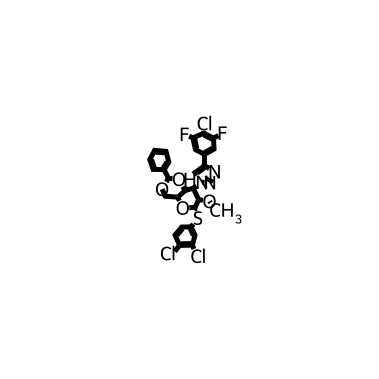 COC1C(n2cc(-c3cc(F)c(Cl)c(F)c3)nn2)[C@H]2OC(c3ccccc3)OCC2O[C@@H]1Sc1ccc(Cl)c(Cl)c1